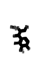 CCC=C(C(=O)OCC)C(=O)c1ccc(F)c(C(F)(F)F)c1F